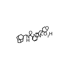 O=C(NCC12CC3CC4CC(C1)C4(C3)C2)c1cccc2nc(CC3(C(=O)O)CCOCC3)cn12